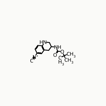 [C-]#[N+]c1ccc2c(c1)CC(NC(=O)OC(C)(C)C)CN2